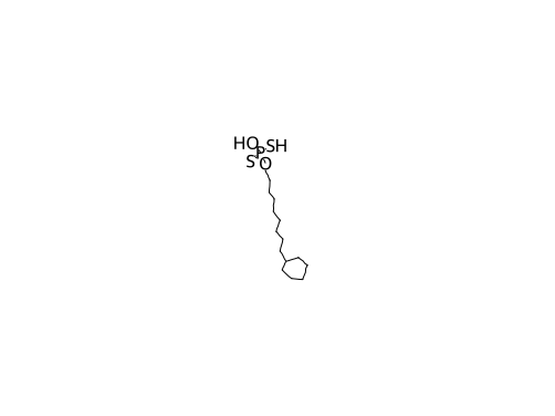 OP(=S)(S)OCCCCCCCCCC1CCCCC1